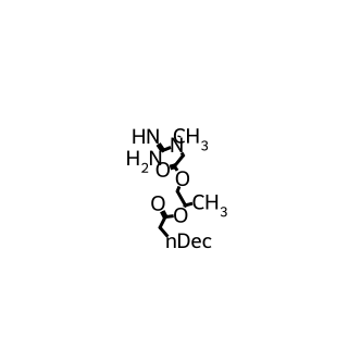 CCCCCCCCCCCC(=O)OC(C)COC(=O)CN(C)C(=N)N